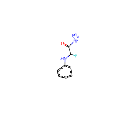 NNC(=O)C(F)Nc1ccccc1